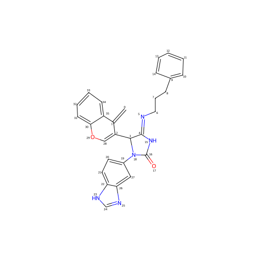 C=C1C(C2/C(=N/CCCc3ccccc3)NC(=O)N2c2ccc3[nH]cnc3c2)=COc2ccccc21